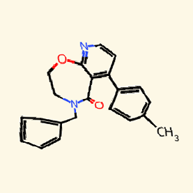 Cc1ccc(-c2ccnc3c2C(=O)N(Cc2ccccc2)CCO3)cc1